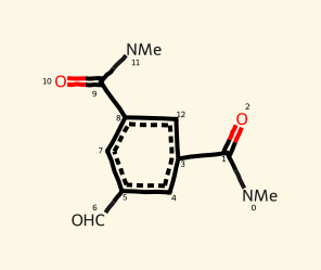 CNC(=O)c1cc(C=O)cc(C(=O)NC)c1